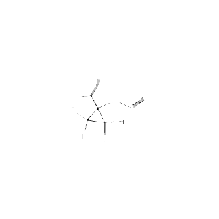 C=COC1(C(=C)F)C(F)(F)C1(F)F